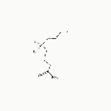 CCCCC1(CCCC(N)=O)OO1